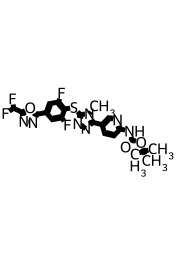 Cn1c(Sc2c(F)cc(-c3nnc(C(F)F)o3)cc2F)nnc1-c1ccc(NC(=O)OC(C)(C)C)nc1